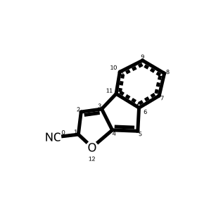 N#CC1C=C2C(=Cc3ccccc32)O1